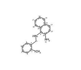 Cc1ccccc1CNc1c(N)ccc2ccccc12